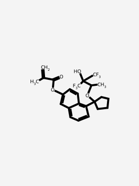 C=C(C)C(=O)Oc1ccc2c(C3(OC(C)C(O)(C(F)(F)F)C(F)(F)F)CCCC3)cccc2c1